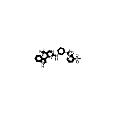 CS(=O)(=O)c1cccn2c([C@H]3CCC[C@@H](Nc4ncc(C(F)(F)F)c(-c5c[nH]c6ccccc56)n4)C3)nnc12